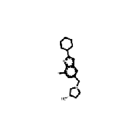 O[C@H]1CCN(Cc2cc(F)c3oc(C4CCCCC4)cc3c2)C1